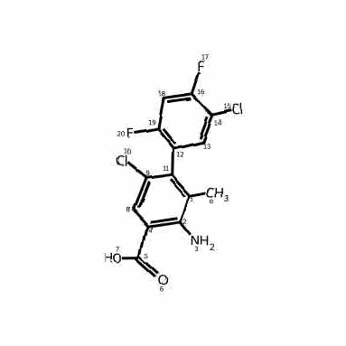 Cc1c(N)c(C(=O)O)cc(Cl)c1-c1cc(Cl)c(F)cc1F